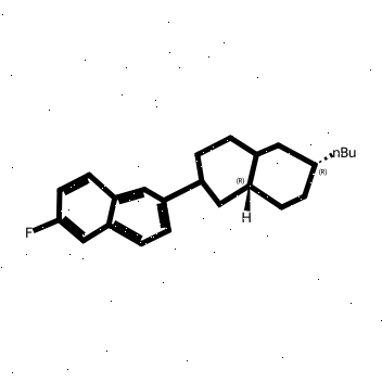 CCCC[C@@H]1CC[C@@H]2CC(c3ccc4cc(F)ccc4c3)CCC2C1